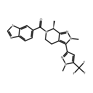 C[C@H]1c2nn(C)c(-c3cc(C(F)(F)F)n(C)n3)c2CCN1C(=O)c1ccc2ncsc2c1